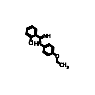 CCOc1ccc(NC(=N)c2ccccc2Cl)cc1